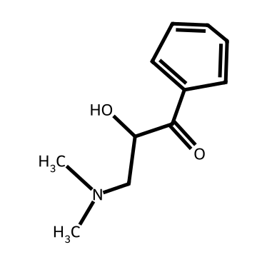 CN(C)CC(O)C(=O)c1ccccc1